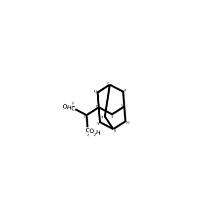 O=CC(C(=O)O)C12CC3CC(CC(C3)C1)C2